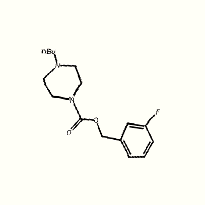 [CH2]CCCN1CCN(C(=O)OCc2cccc(F)c2)CC1